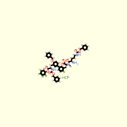 COC(=O)[C@H](Cc1cc(-c2ccc(OCc3ccccc3)c(C[C@H](NC(=O)OCc3ccccc3)C(=O)Oc3c(F)c(F)c(F)c(F)c3F)c2)ccc1F)N(C)C(=O)[C@H](N)CCCNC(=O)OCc1ccccc1.Cl